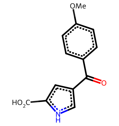 COc1ccc(C(=O)c2c[nH]c(C(=O)O)c2)cc1